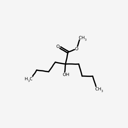 CCCCC(O)(CCCC)C(=O)OC